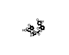 CC(CNC(=O)COc1cccc(C2=NNC(=O)CC2)c1Cl)C(NCCCO)Oc1ccc(Cl)c(Cl)c1